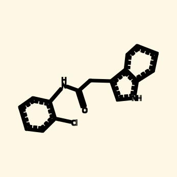 O=C(Cc1c[nH]c2ccccc12)Nc1ccccc1Cl